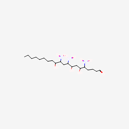 CCCCCCCCC(O)C(CC(C(O)CC(O)C(CCC[C]=O)[N+](=O)[O-])[N+](=O)[O-])[N+](=O)[O-]